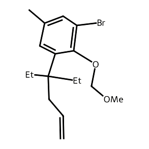 C=CCC(CC)(CC)c1cc(C)cc(Br)c1OCOC